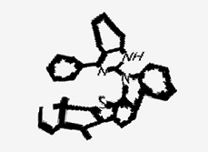 C/C=C\C1=C(C)c2c(sc3c2ccc2c4ccccc4n(C4=NC(c5ccccc5)=C5C=CC=CC5N4)c23)C1(C)C